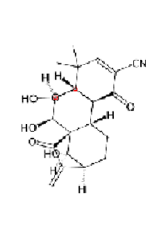 C=C1C(=O)[C@]23[C@H](O)[C@H]1CC[C@H]2[C@@]12CO[C@]3(O)[C@@H](O)[C@@H]1C(C)(C)C=C(C#N)C2=O